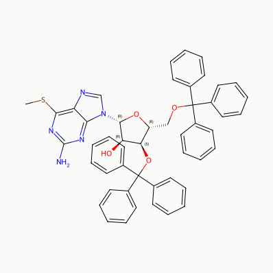 CSc1nc(N)nc2c1ncn2[C@@H]1O[C@H](COC(c2ccccc2)(c2ccccc2)c2ccccc2)[C@@H](OC(c2ccccc2)(c2ccccc2)c2ccccc2)[C@H]1O